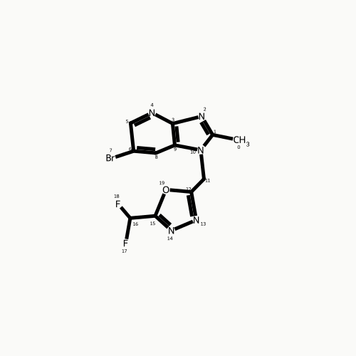 Cc1nc2ncc(Br)cc2n1Cc1nnc(C(F)F)o1